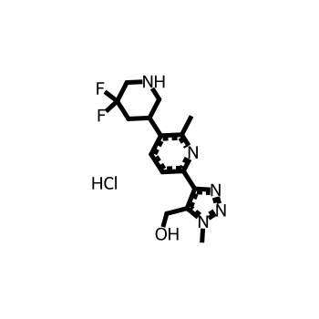 Cc1nc(-c2nnn(C)c2CO)ccc1C1CNCC(F)(F)C1.Cl